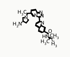 C[C@@H](c1ccc2nnc(-c3ccc4ccc(C(=O)NC(C)(C)C)cc4n3)n2c1)N1CC[C@@H](N)C1